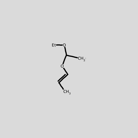 [CH2]C(OC=CC)OCC